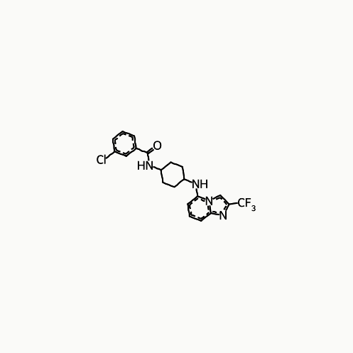 O=C(NC1CCC(Nc2cccc3nc(C(F)(F)F)cn23)CC1)c1cccc(Cl)c1